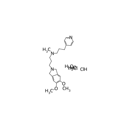 COc1cc2c(cc1OC)CN(CCCN(C)CCCc1ccncc1)C2.Cl.Cl.O.O